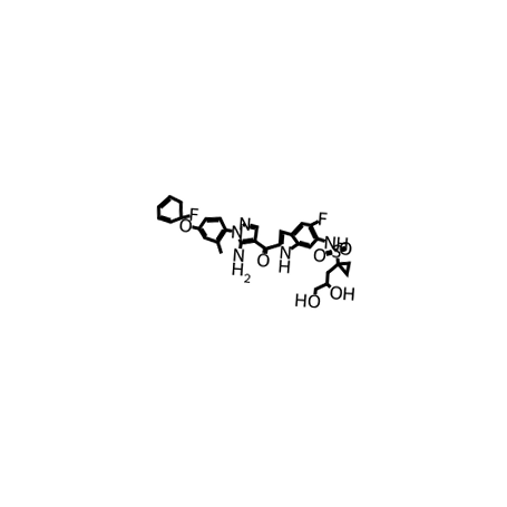 Cc1cc(OC2(F)C=CC=CC2)ccc1-n1ncc(C(=O)c2cc3cc(F)c(NS(=O)(=O)C4(CC(O)CO)CC4)cc3[nH]2)c1N